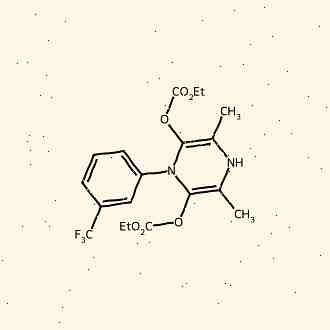 CCOC(=O)OC1=C(C)NC(C)=C(OC(=O)OCC)N1c1cccc(C(F)(F)F)c1